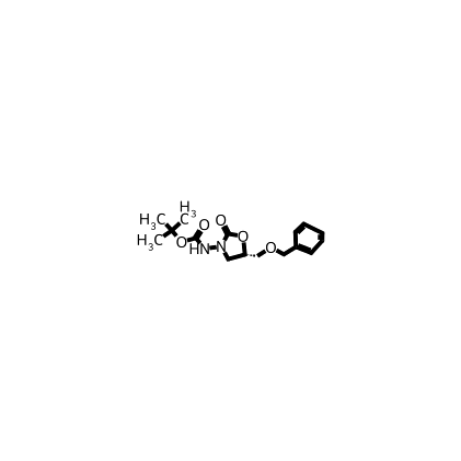 CC(C)(C)OC(=O)NN1C[C@@H](COCc2ccccc2)OC1=O